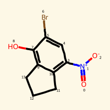 O=[N+]([O-])c1cc(Br)c(O)c2c1CCC2